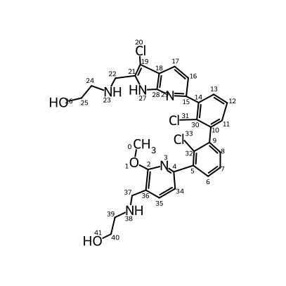 COc1nc(-c2cccc(-c3cccc(-c4ccc5c(Cl)c(CNCCO)[nH]c5n4)c3Cl)c2Cl)ccc1CNCCO